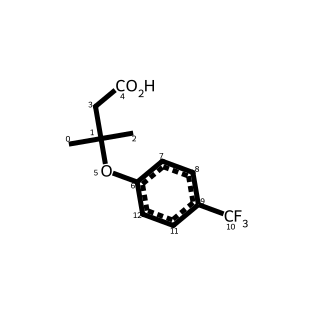 CC(C)(CC(=O)O)Oc1ccc(C(F)(F)F)cc1